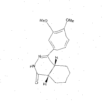 COc1ccc(C2=NNC(=O)[C@H]3CCCC[C@@H]23)cc1OC